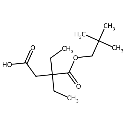 CCC(CC)(CC(=O)O)C(=O)OCC(C)(C)C